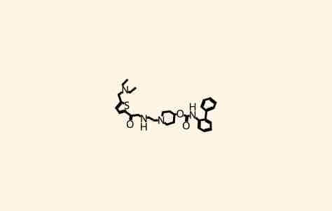 CCN(CC)Cc1ccc(C(=O)CNCCN2CCC(OC(=O)Nc3ccccc3-c3ccccc3)CC2)s1